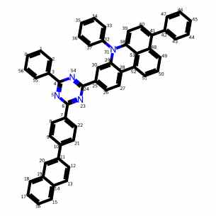 c1ccc(-c2nc(-c3ccc(-c4ccc5ccccc5c4)cc3)nc(-c3ccc4c(c3)N(c3ccccc3)c3ccc(-c5ccccc5)c5cccc-4c35)n2)cc1